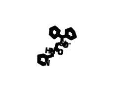 O=C(C[S+]([O-])C(c1ccccc1)c1ccccc1)NCc1ccccn1